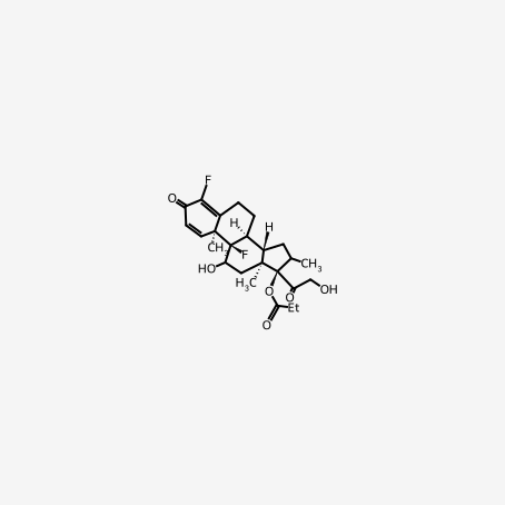 CCC(=O)O[C@]1(C(=O)CO)C(C)C[C@H]2[C@@H]3CCC4=C(F)C(=O)C=C[C@]4(C)[C@@]3(F)C(O)C[C@@]21C